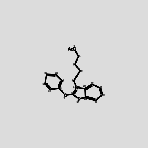 CC(=O)OCCCC[n+]1c(Oc2ccccc2)sc2ccccc21